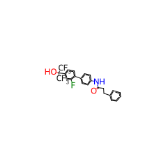 O=C(CCc1ccccc1)Nc1ccc(-c2ccc(C(O)(C(F)(F)F)C(F)(F)F)cc2F)cc1